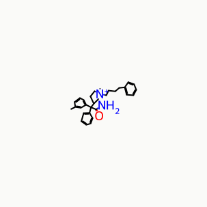 Cc1cccc(C(C(N)=O)(c2ccccc2)C2CC[N+](C)(CCCCc3ccccc3)C2)c1